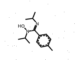 Cc1ccc(C(=NC(C)C)N(O)C(C)C)cc1